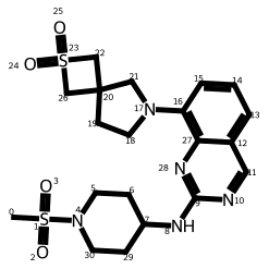 CS(=O)(=O)N1CCC(Nc2ncc3cccc(N4CCC5(C4)CS(=O)(=O)C5)c3n2)CC1